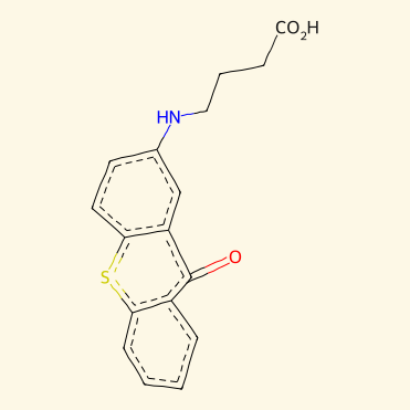 O=C(O)CCCNc1ccc2sc3ccccc3c(=O)c2c1